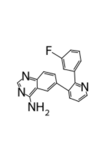 Nc1ncnc2ccc(-c3cccnc3-c3cccc(F)c3)cc12